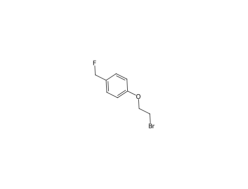 FCc1ccc(OCCBr)cc1